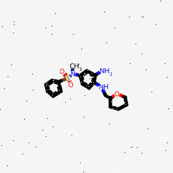 CN(c1ccc(NCC2CCCCO2)c(N)c1)S(=O)(=O)c1ccccc1